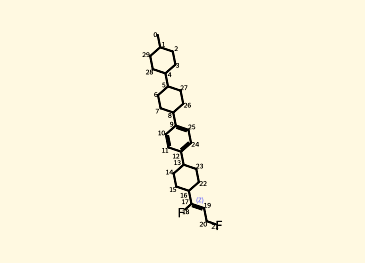 CC1CCC(C2CCC(c3ccc(C4CCC(/C(F)=C/CF)CC4)cc3)CC2)CC1